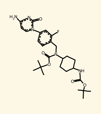 CC(C)(C)OC(=O)NC1CCC(N(Cc2ccc(-n3ccc(N)nc3=O)cc2F)C(=O)OC(C)(C)C)CC1